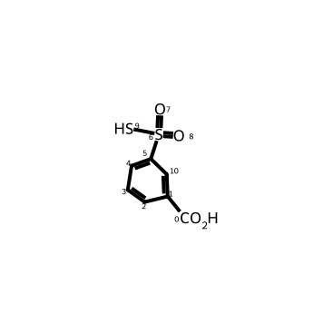 O=C(O)c1cccc(S(=O)(=O)S)c1